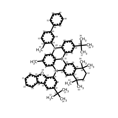 Cc1cc2c3c(c1)N(c1cc(C(C)(C)C)cc4c1oc1ccccc14)c1cc4c(cc1B3c1cc(C(C)(C)C)ccc1N2c1cc(-c2ccccc2)ccc1C)C(C)(C)CCC4(C)C